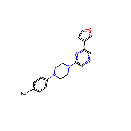 FC(F)(F)c1ccc(N2CCN(c3cncc(-c4ccoc4)n3)CC2)cc1